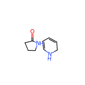 C1=CCNC=C1.O=C1CCCN1